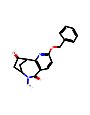 CN1C(=O)c2ccc(OCc3ccccc3)nc2C2CC1CC2=O